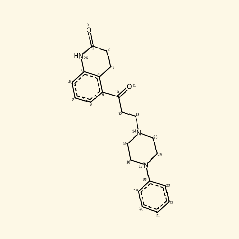 O=C1CCc2c(cccc2C(=O)CCN2CCN(c3ccccc3)CC2)N1